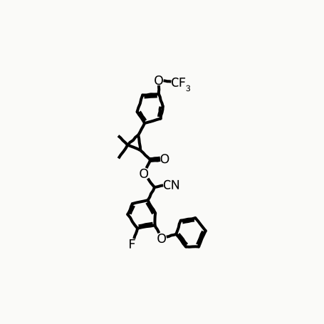 CC1(C)C(C(=O)OC(C#N)c2ccc(F)c(Oc3ccccc3)c2)C1c1ccc(OC(F)(F)F)cc1